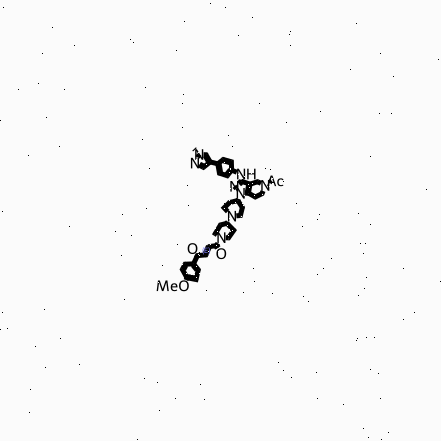 COc1ccc(C(=O)/C=C/C(=O)N2CCC(N3CCC(n4nc(Nc5ccc(-c6cnn(C)c6)cc5)c5c4CCN(C(C)=O)C5)CC3)CC2)cc1